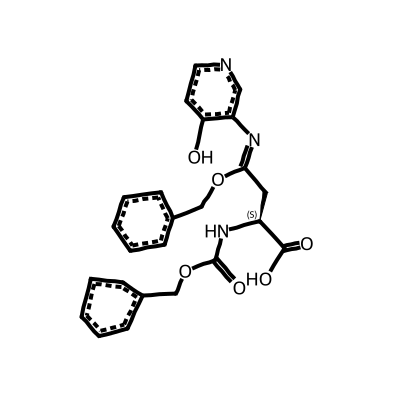 O=C(N[C@@H](CC(=Nc1cnccc1O)OCc1ccccc1)C(=O)O)OCc1ccccc1